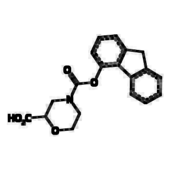 O=C(O)C1CN(C(=O)Oc2cccc3c2-c2ccccc2C3)CCO1